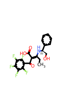 CCC(N[C@H](CO)c1ccccc1)=C(C(=O)O)C(=O)c1c(F)c(F)c(F)c(F)c1F